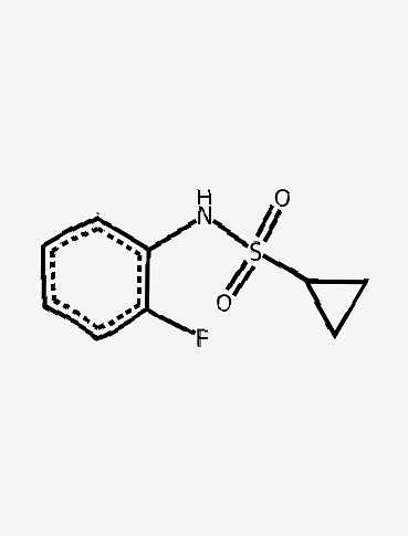 O=S(=O)(Nc1[c]cccc1F)C1CC1